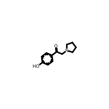 O=C(CN1C[CH]CC1)c1ccc(O)cc1